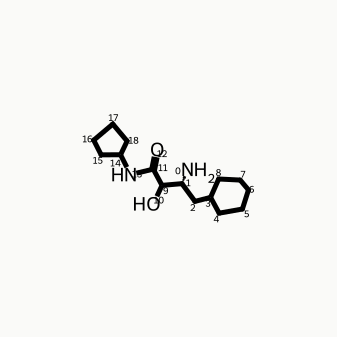 N[C@H](CC1CCCCC1)C(O)C(=O)NC1CCCC1